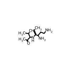 CC=C(NC(C(C)=O)C(C)C)C(N)CCN